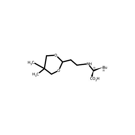 CC[C@H](C)[C@H](NCCC1OCC(C)(C)CO1)C(=O)O